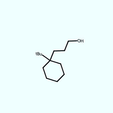 CC(C)(C)C1(CCCO)CCCCC1